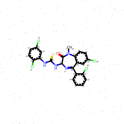 CN1C(=O)C(NC(=S)Nc2cc(Cl)ccc2Cl)N=C(c2ccccc2Cl)c2cc(Cl)ccc21